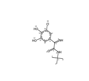 CC(C)(C)NC(=O)C(=N)c1cc(O)c(O)c(Cl)c1